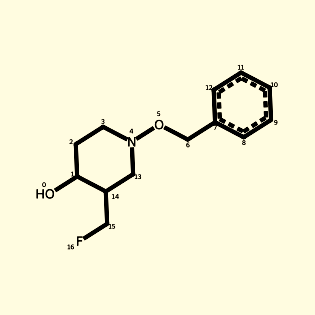 OC1CCN(OCc2ccccc2)CC1CF